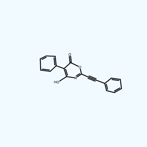 O=c1oc(C#Cc2ccccc2)nc(O)c1-c1ccccc1